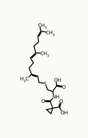 CC(C)=CCC/C(C)=C/CC/C(C)=C/CSCC(NC(=O)C1(C(=O)O)CC1)C(=O)O